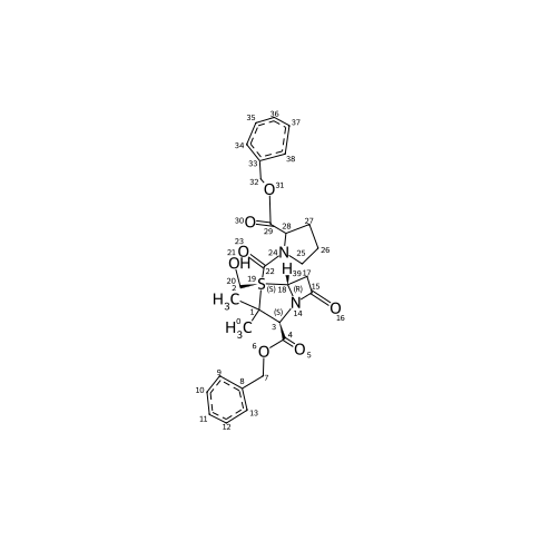 CC1(C)[C@H](C(=O)OCc2ccccc2)N2C(=O)C[C@H]2[S@@]1(CO)C(=O)N1CCCC1C(=O)OCc1ccccc1